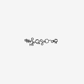 CC(C)(C)NC(=O)N(S)c1ccc(OC(=O)N2CCC(COn3cccn3)CC2)nc1